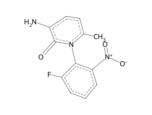 Cc1ccc(N)c(=O)n1-c1c(F)cccc1[N+](=O)[O-]